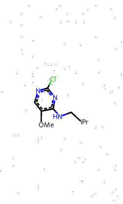 COc1cnc(Cl)nc1NCC(C)C